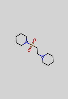 O=S(=O)(CCN1CCCCC1)N1CC[CH]CC1